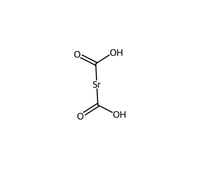 O=[C](O)[Sr][C](=O)O